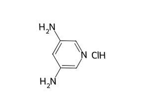 Cl.Nc1cncc(N)c1